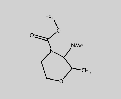 CNC1C(C)OCCN1C(=O)OC(C)(C)C